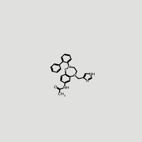 CC(=O)Nc1ccc2c(c1)N(Cc1c[nH]cn1)CCN(c1ccccc1-c1ccccc1)S2